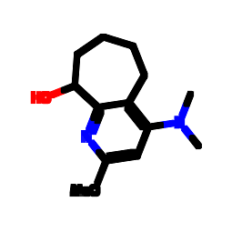 COc1cc(N(C)C)c2c(n1)C(O)CCCC2